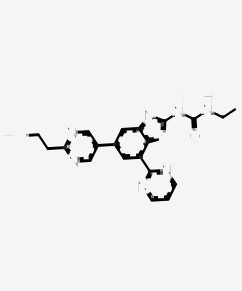 CCNC(=O)Nc1nc2cc(-c3cnc(CCO)nc3)cc(-c3ncccn3)c2s1